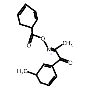 C/C(=N\OC(=O)C1C=CC=CC1)C(=O)C1=CC(C)CC=C1